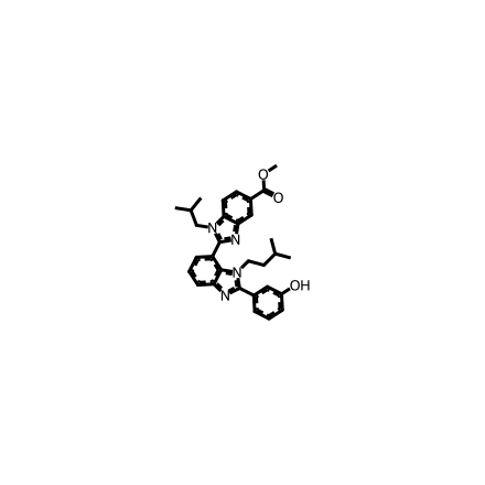 COC(=O)c1ccc2c(c1)nc(-c1cccc3nc(-c4cccc(O)c4)n(CCC(C)C)c13)n2CC(C)C